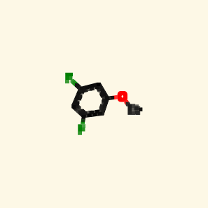 C[CH]Oc1cc(F)cc(F)c1